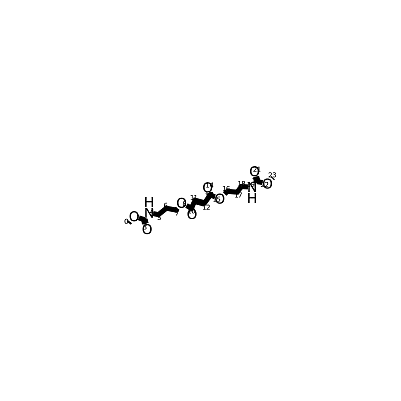 COC(=O)NCCCOC(=O)/C=C/C(=O)OCCCNC(=O)OC